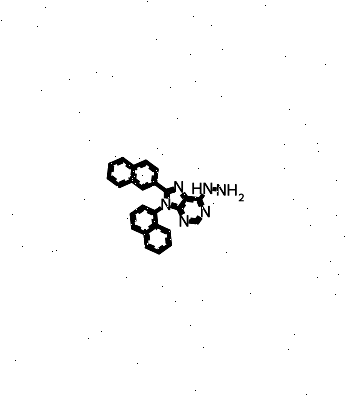 NNc1ncnc2c1nc(-c1ccc3ccccc3c1)n2-c1cccc2ccccc12